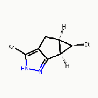 CC[C@@H]1[C@@H]2Cc3c(n[nH]c3C(C)=O)[C@H]12